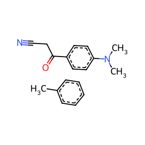 CN(C)c1ccc(C(=O)CC#N)cc1.Cc1ccccc1